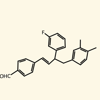 Cc1ccc(CC(C=Cc2ccc(C=O)cc2)c2cccc(F)c2)cc1C